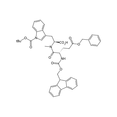 CN(C(=O)[C@H](CCC(=O)OCc1ccccc1)NC(=O)OCC1c2ccccc2-c2ccccc21)[C@@H](Cc1cn(C(=O)OC(C)(C)C)c2ccccc12)C(=O)O